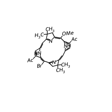 COc1c2nc(cc3cc(C(C)=O)c([nH]3)c(Br)c3nc(cc4cc(C(C)=O)c1[nH]4)C(C)(C)C3)C(C)(C)C2